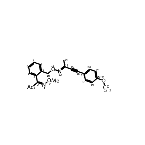 CO/N=C(/C(C)=O)c1ccccc1CO/N=C(\C)C#Cc1ccc(OC(F)(F)F)cc1